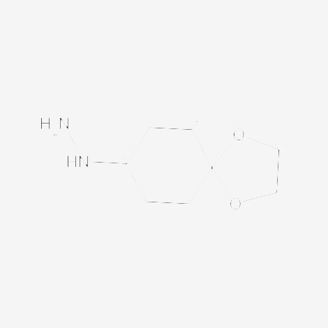 NNC1CCC2(CC1)OCCO2